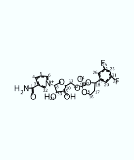 NC(=O)c1ccc[n+]([C@@H]2OC(COP3(=O)OCCC(c4cc(F)cc(F)c4)O3)[C@@H](O)[C@H]2O)c1